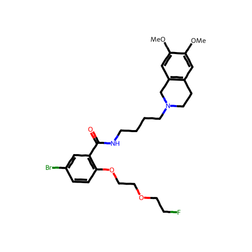 COc1cc2c(cc1OC)CN(CCCCNC(=O)c1cc(Br)ccc1OCCOCCF)CC2